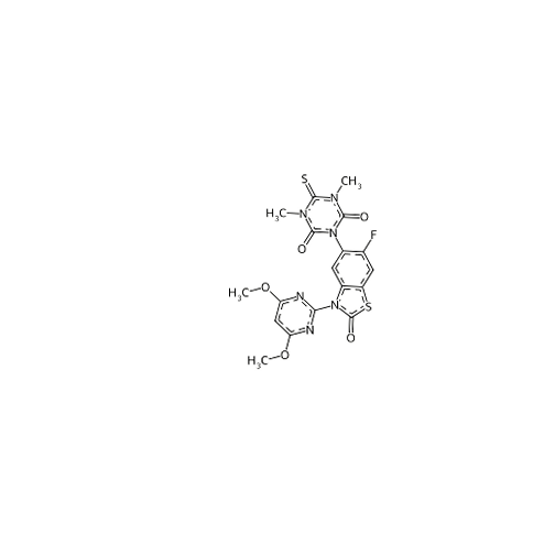 COc1cc(OC)nc(-n2c(=O)sc3cc(F)c(-n4c(=O)n(C)c(=S)n(C)c4=O)cc32)n1